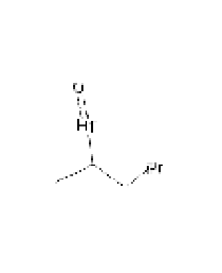 CC(C)C[CH](C)[Hf]=[O]